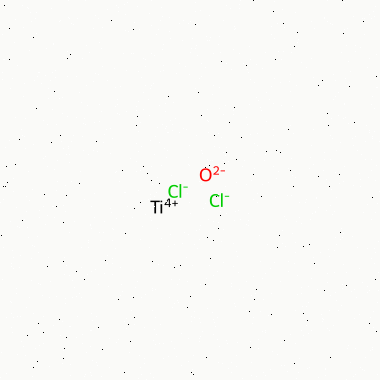 [Cl-].[Cl-].[O-2].[Ti+4]